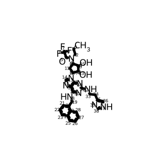 CCCN(C(=O)C(F)(F)F)[C@H]1C[C@@H](n2cnc3c(NCc4cccc5ccccc45)nc(NCCc4c[nH]cn4)nc32)[C@H](O)[C@@H]1O